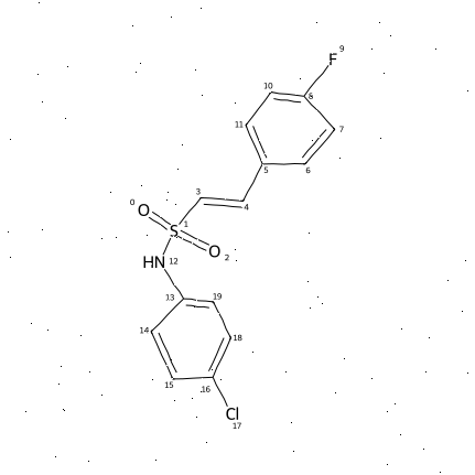 O=S(=O)(C=Cc1ccc(F)cc1)Nc1ccc(Cl)cc1